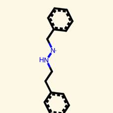 c1ccc(CCN[N]Cc2ccccc2)cc1